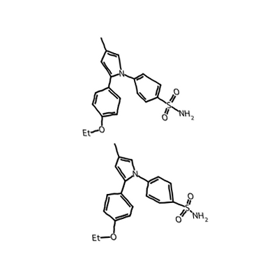 CCOc1ccc(-c2cc(C)cn2-c2ccc(S(N)(=O)=O)cc2)cc1.CCOc1ccc(-c2cc(C)cn2-c2ccc(S(N)(=O)=O)cc2)cc1